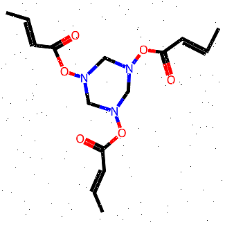 CC=CC(=O)ON1CN(OC(=O)C=CC)CN(OC(=O)C=CC)C1